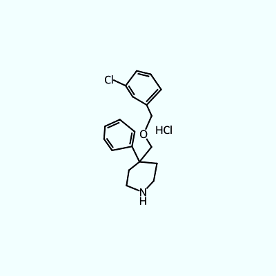 Cl.Clc1cccc(COCC2(c3ccccc3)CCNCC2)c1